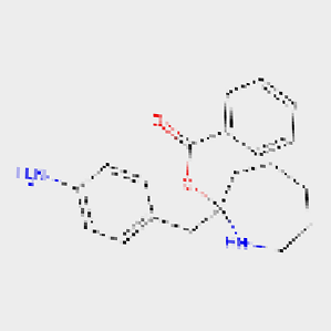 Nc1ccc(CC2(OC(=O)c3ccccc3)CCCCCN2)cc1